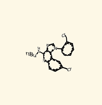 CCCCNc1nc2ccc(Cl)cc2c2c1ncn2-c1ccccc1Cl